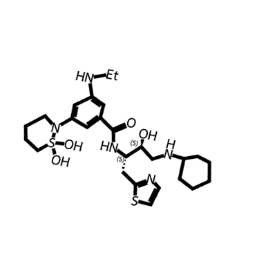 CCNc1cc(C(=O)N[C@@H](Cc2nccs2)[C@@H](O)CNC2CCCCC2)cc(N2CCCCS2(O)O)c1